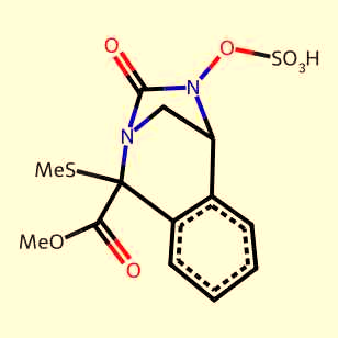 COC(=O)C1(SC)c2ccccc2C2CN1C(=O)N2OS(=O)(=O)O